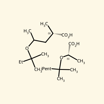 CCC(C)(C)OC(C)C[C@H](C)C(=O)O.CCCC(C)C(C)(C)O[C@@H](C)C(=O)O